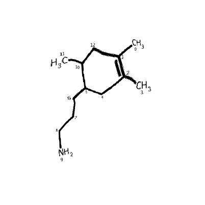 CC1=C(C)CC(CCCN)C(C)C1